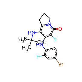 BC(C)(C)Nc1c(Nc2ccc(Br)cc2F)c(F)c(=O)n2c1CCC2